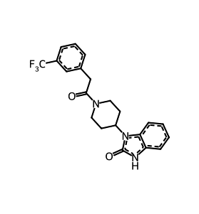 O=C(Cc1cccc(C(F)(F)F)c1)N1CCC(n2c(=O)[nH]c3ccccc32)CC1